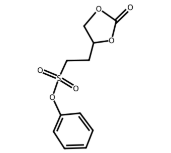 O=C1OCC(CCS(=O)(=O)Oc2ccccc2)O1